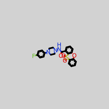 O=C(NN1CCN(c2ccc(F)cc2)CC1)c1cccc2c1S(=O)(=O)c1ccccc1O2